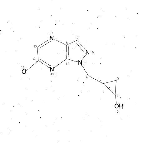 OC1CC1Cn1ncc2ncc(Cl)nc21